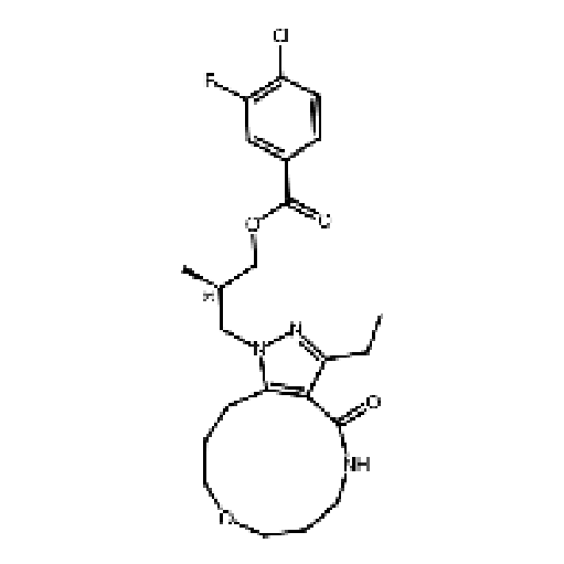 CCc1nn(C[C@@H](C)COC(=O)c2ccc(Cl)c(F)c2)c2c1C(=O)NCCCOCCC2